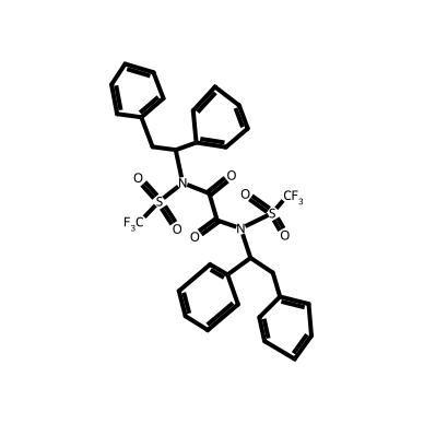 O=C(C(=O)N(C(Cc1ccccc1)c1ccccc1)S(=O)(=O)C(F)(F)F)N(C(Cc1ccccc1)c1ccccc1)S(=O)(=O)C(F)(F)F